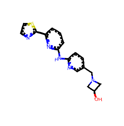 OC1CN(Cc2ccc(Nc3cccc(-c4nccs4)n3)nc2)C1